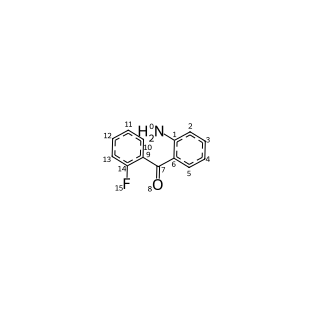 Nc1ccccc1C(=O)c1ccccc1F